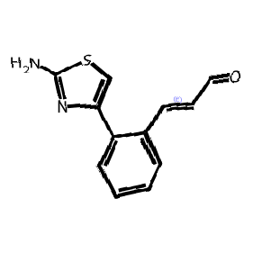 Nc1nc(-c2ccccc2/C=C/C=O)cs1